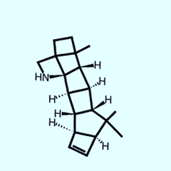 CC1(C)[C@@H]2[C@H]([C@@H]3C=C[C@@H]31)[C@@H]1[C@H]2[C@H]2C3(C)CCC34CN[C@]124